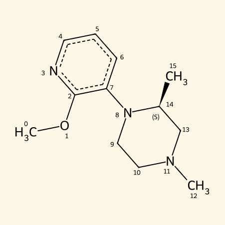 COc1ncccc1N1CCN(C)C[C@@H]1C